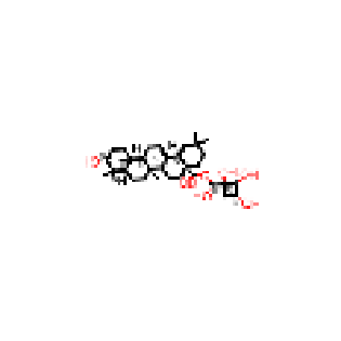 CC1(C)CC[C@]2(C(=O)O[C@@H](O)[C@@]3(O)C[C@@H](O)C3O)C(O)C[C@]3(C)C(=CC[C@@H]4[C@@]5(C)CC[C@H](O)C(C)(C)[C@@H]5CC[C@]43C)[C@@H]2C1